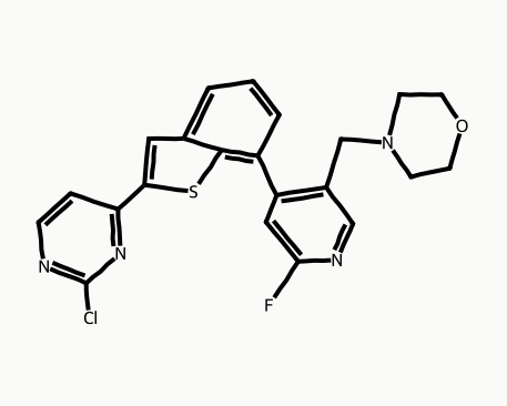 Fc1cc(-c2cccc3cc(-c4ccnc(Cl)n4)sc23)c(CN2CCOCC2)cn1